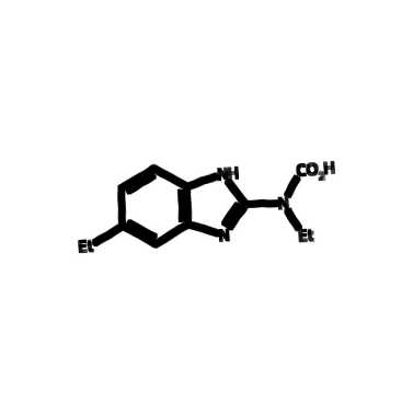 CCc1ccc2[nH]c(N(CC)C(=O)O)nc2c1